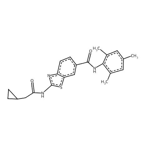 Cc1cc(C)c(NC(=O)c2ccc3nc(NC(=O)CC4CC4)sc3c2)c(C)c1